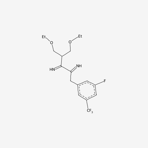 CCOCC(COCC)C(=N)C(=N)Cc1cc(F)cc(C(F)(F)F)c1